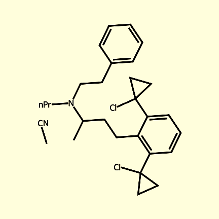 CC#N.CCCN(CCc1ccccc1)C(C)CCc1c(C2(Cl)CC2)cccc1C1(Cl)CC1